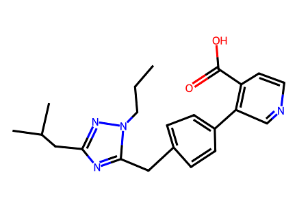 CCCn1nc(CC(C)C)nc1Cc1ccc(-c2cnccc2C(=O)O)cc1